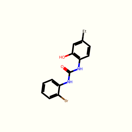 CCc1ccc(NC(=O)Nc2ccccc2Br)c(O)c1